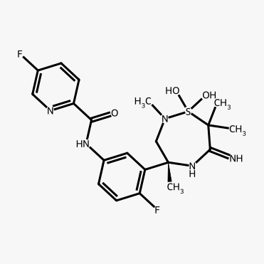 CN1C[C@@](C)(c2cc(NC(=O)c3ccc(F)cn3)ccc2F)NC(=N)C(C)(C)S1(O)O